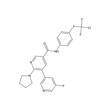 O=C(Nc1ccc(SC(F)(F)Cl)cc1)c1cnc(N2CCCC2)c(-c2cncc(F)c2)c1